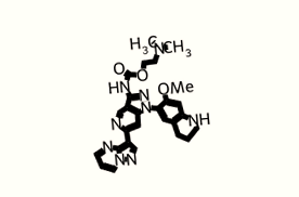 COc1cc2c(cc1-n1nc(NC(=O)OCCN(C)C)c3cnc(-c4cnn5cccnc45)cc31)CCCN2